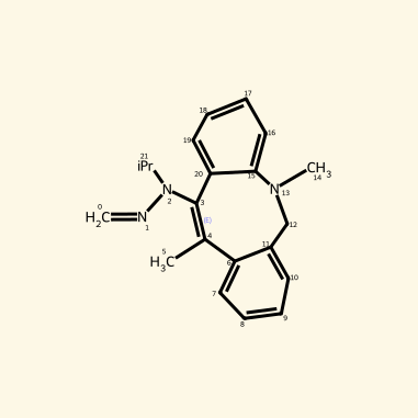 C=NN(/C1=C(\C)c2ccccc2CN(C)c2ccccc21)C(C)C